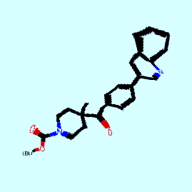 CC(C)(C)OC(=O)N1CCC(C)(C(=O)c2ccc(-c3cnc4ccccc4c3)cc2)CC1